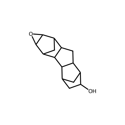 OC1CC2CC1C1CC3C4CC(C5OC45)C3C21